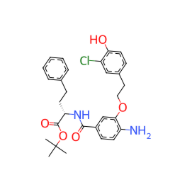 CC(C)(C)OC(=O)[C@H](CCc1ccccc1)NC(=O)c1ccc(N)c(OCCc2ccc(O)c(Cl)c2)c1